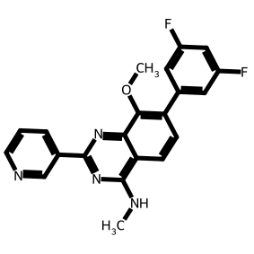 CNc1nc(-c2cccnc2)nc2c(OC)c(-c3cc(F)cc(F)c3)ccc12